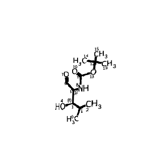 CC(C)[C@@H](O)[C@@H]([C]=O)NC(=O)OC(C)(C)C